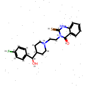 O=c1c2ccccc2[nH]c(=S)n1CCN1CCC([C@@H](O)c2ccc(F)cc2)CC1